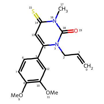 C=CCn1c(-c2ccc(OC)c(OC)c2)cc(=S)n(C)c1=O